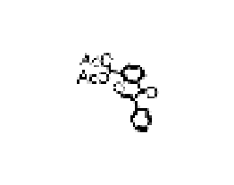 CC(=O)OC(OC(C)=O)c1cccc2c(=O)c(-c3ccccc3)coc12